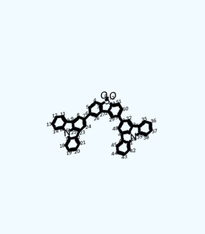 O=S1(=O)c2ccc(-c3cc4c5ccccc5n5c6ccccc6c(c3)c45)cc2-c2cc(-c3cc4c5ccccc5n5c6ccccc6c(c3)c45)ccc21